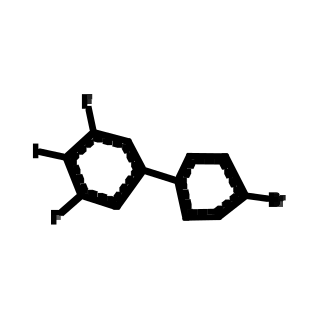 Fc1cc(-c2ccc(Br)cc2)cc(F)c1I